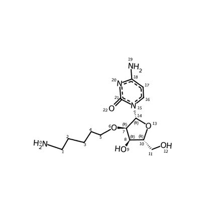 NCCCCCO[C@@H]1[C@H](O)[C@@H](CO)O[C@H]1n1ccc(N)nc1=O